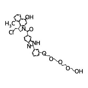 Cc1cccc2c(O)cc3c(c12)[C@H](CCl)CN3C(=O)c1ccc2nc(-c3cccc(OCCOCCOCCOCCO)c3)[nH]c2c1